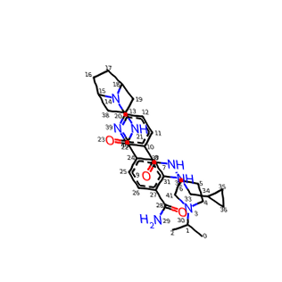 CC(C)N1CC[C@@H](NC(=O)c2ccc(N3C4CCC3CC(NC(=O)c3ccc(C(N)=O)c(NCC5CC5)c3)C4)nc2)C1